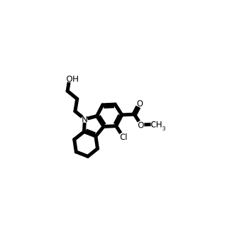 COC(=O)c1ccc2c(c1Cl)c1c(n2CCCO)CCCC1